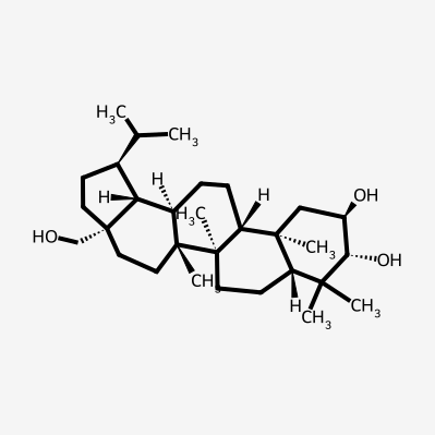 CC(C)[C@@H]1CC[C@]2(CO)CC[C@]3(C)[C@H](CC[C@@H]4[C@@]5(C)C[C@@H](O)[C@H](O)C(C)(C)[C@@H]5CC[C@]43C)[C@@H]12